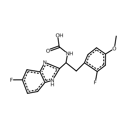 COc1ccc(CC(NC(=O)O)c2nc3cc(F)ccc3[nH]2)c(F)c1